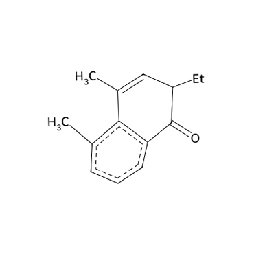 CCC1C=C(C)c2c(C)cccc2C1=O